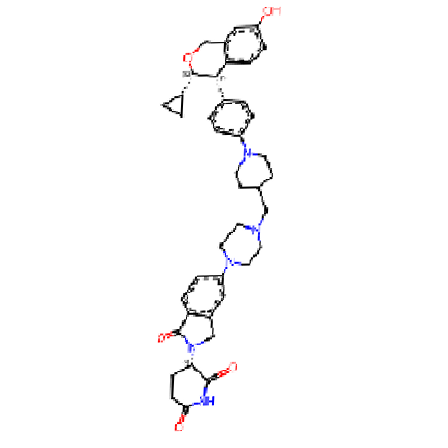 O=C1CC[C@H](N2Cc3cc(N4CCN(CC5CCN(c6ccc([C@H]7c8ccc(O)cc8CO[C@H]7C7CC7)cc6)CC5)CC4)ccc3C2=O)C(=O)N1